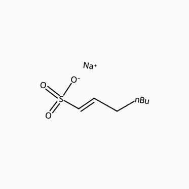 CCCCCC=CS(=O)(=O)[O-].[Na+]